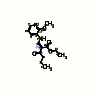 CCCC(=O)/C(=C/Nc1cccnc1OC)C(=O)OCC